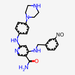 NC(=O)c1cnc(Nc2ccc(N3CCNCC3)cc2)cc1NCc1cccc(N=O)c1